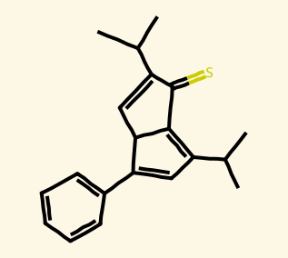 CC(C)C1=CC2C(c3ccccc3)=CC(C(C)C)=C2C1=S